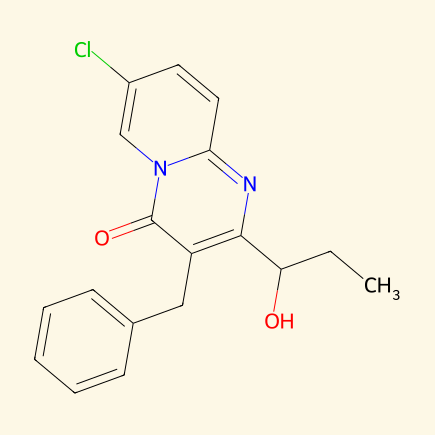 CCC(O)c1nc2ccc(Cl)cn2c(=O)c1Cc1ccccc1